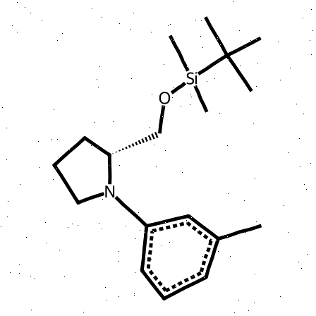 Cc1cccc(N2CCC[C@@H]2CO[Si](C)(C)C(C)(C)C)c1